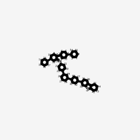 c1ccc(-c2ccc3c4ccc(-c5ccccc5)cc4n(-c4ccc(-c5cccc(-c6ccc(-c7ccc8c(c7)sc7ccccc78)cc6)c5)cc4)c3c2)cc1